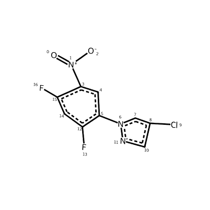 O=[N+]([O-])c1cc(-n2cc(Cl)cn2)c(F)cc1F